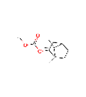 [CH2]OC(=O)OC1CC2CCC1(C)C2(C)C